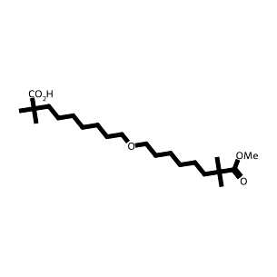 COC(=O)C(C)(C)CCCCCCOCCCCCCCC(C)(C)C(=O)O